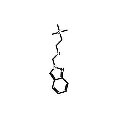 C[Si](C)(C)CCOCn1cc2ccccc2n1